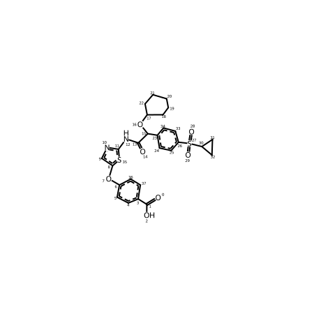 O=C(O)c1ccc(Oc2cnc(NC(=O)C(OC3CCCCC3)c3ccc(S(=O)(=O)C4CC4)cc3)s2)cc1